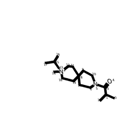 CC(C)C(=O)N1CCC2(CC1)CC[N+](C)(C(C)C)CC2